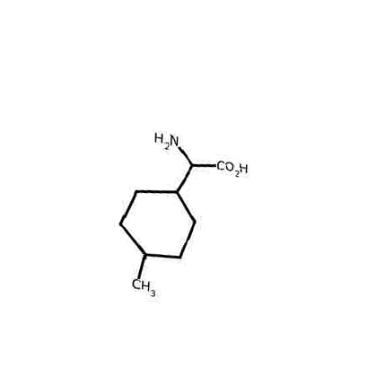 CC1CCC(C(N)C(=O)O)CC1